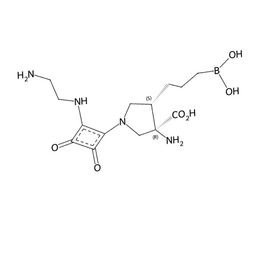 NCCNc1c(N2C[C@H](CCCB(O)O)[C@](N)(C(=O)O)C2)c(=O)c1=O